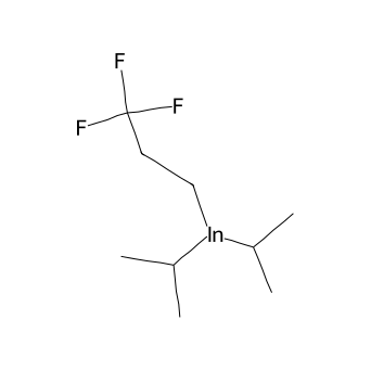 C[CH](C)[In]([CH2]CC(F)(F)F)[CH](C)C